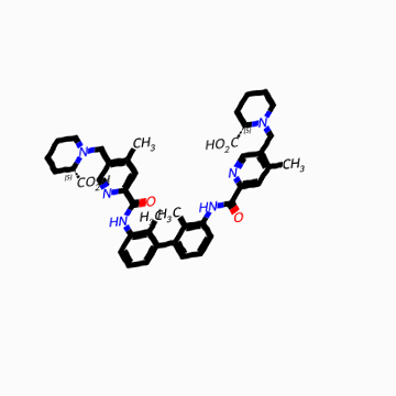 Cc1cc(C(=O)Nc2cccc(-c3cccc(NC(=O)c4cc(C)c(CN5CCCC[C@H]5C(=O)O)cn4)c3C)c2C)ncc1CN1CCCC[C@H]1C(=O)O